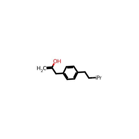 C=C(O)Cc1ccc(CCC(C)C)cc1